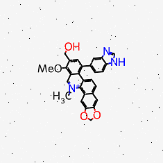 COc1c(CO)cc(-c2ccc3[nH]cnc3c2)c2c1c[n+](C)c1c3cc4c(cc3ccc21)OCO4